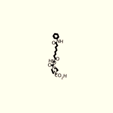 O=C(CCCCCCC(=O)Nc1ccccc1)NOC(=O)N1CCN(C(=O)O)CC1